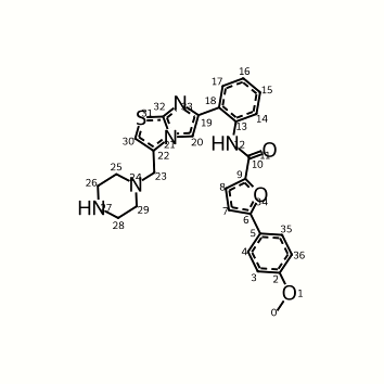 COc1ccc(-c2ccc(C(=O)Nc3ccccc3-c3cn4c(CN5CCNCC5)csc4n3)o2)cc1